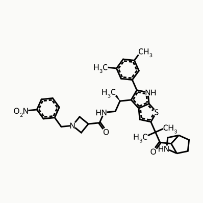 Cc1cc(C)cc(-c2[nH]c3sc(C(C)(C)C(=O)C4C5CCC4NC5)cc3c2[C@H](C)CNC(=O)C2CN(Cc3cccc([N+](=O)[O-])c3)C2)c1